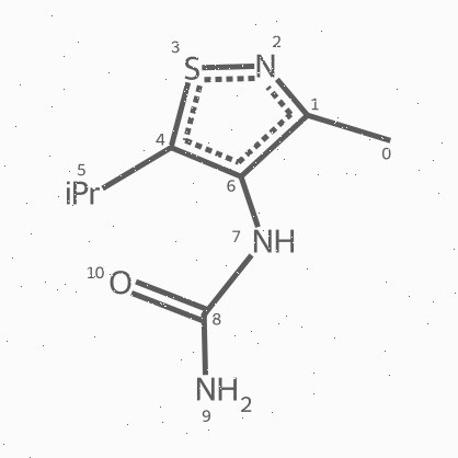 Cc1nsc(C(C)C)c1NC(N)=O